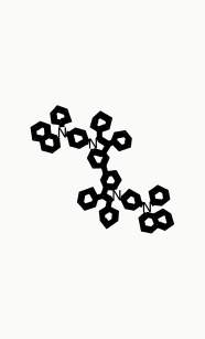 c1ccc(-c2c(-c3ccccc3)n(-c3ccc(N(c4ccccc4)c4cccc5ccccc45)cc3)c3ccc(-c4ccc5c(c4)c(-c4ccccc4)c(-c4ccccc4)n5-c4ccc(N(c5ccccc5)c5cccc6ccccc56)cc4)cc23)cc1